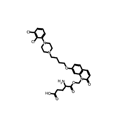 NC(CCC(=O)O)C(=O)OCn1c(=O)ccc2ccc(OCCCCN3CCN(c4cccc(Cl)c4Cl)CC3)cc21